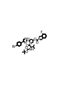 CC(C)C(NC(=O)OC(C)(C)C)C(=O)N1C[C@H](OC(=O)N2Cc3cccc(F)c3C2)C[C@H]1c1nc(-c2ccc(Br)cc2)c[nH]1